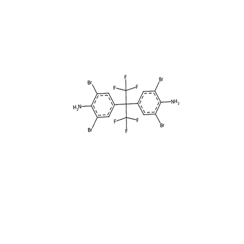 Nc1c(Br)cc(C(c2cc(Br)c(N)c(Br)c2)(C(F)(F)F)C(F)(F)F)cc1Br